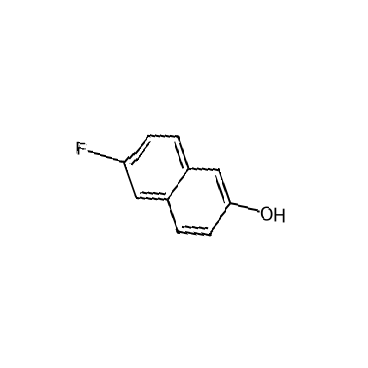 Oc1ccc2cc(F)ccc2c1